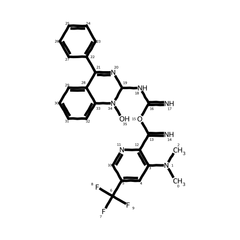 CN(C)c1cc(C(F)(F)F)cnc1C(=N)OC(=N)NC1N=C(c2ccccc2)c2ccccc2N1O